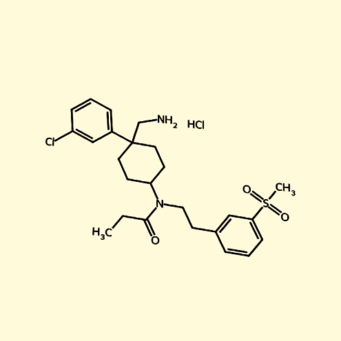 CCC(=O)N(CCc1cccc(S(C)(=O)=O)c1)C1CCC(CN)(c2cccc(Cl)c2)CC1.Cl